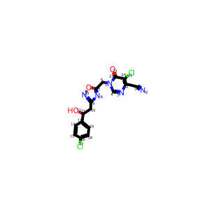 N#Cc1ncn(Cc2nc(CC(O)c3ccc(Cl)cc3)no2)c(=O)c1Cl